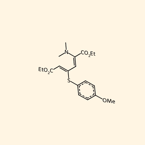 CCOC(=O)/C=C(/C=C(/C(=O)OCC)N(C)C)Sc1ccc(OC)cc1